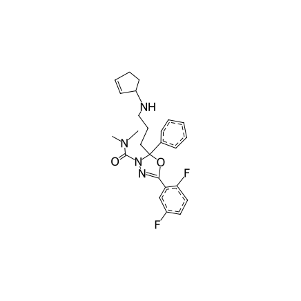 CN(C)C(=O)N1N=C(c2cc(F)ccc2F)OC1(CCCNC1C=CCC1)c1ccccc1